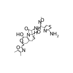 CON=C(C(=O)N[C@@H]1C(=O)N2C(C(=O)O)=C(CSc3nc(C)c(C)o3)CS[C@@H]12)c1csc(N)n1